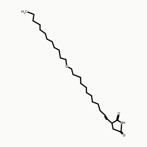 CCCCCCCCCCCCOCCCCCCCCCCC=CC1CC(=O)NC1=O